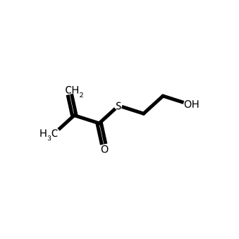 C=C(C)C(=O)SCCO